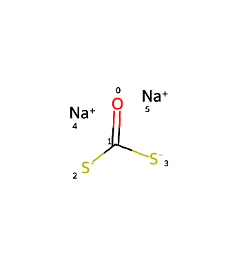 O=C([S-])[S-].[Na+].[Na+]